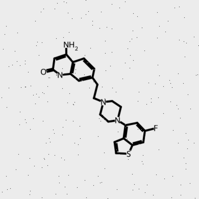 NC1=CC(=O)[N]c2cc(CCN3CCN(c4cc(F)cc5sccc45)CC3)ccc21